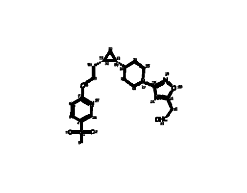 CS(=O)(=O)c1ccc(OCC[C@@H]2C[C@@H]2C2CCN(c3noc(CC=O)n3)CC2)nc1